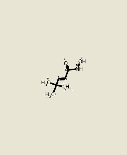 CC(C)(C)C=CC(=O)NO